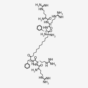 N=C(N)NCCC[C@H](NC(=O)[C@@H](N)CCCNC(=N)N)C(=O)N[C@@H](Cc1ccccc1)C(=O)CCCCCCCCCCCC(N)(N)C(=O)[C@H](Cc1ccccc1)NC(=O)[C@H](CCCNC(=N)N)NC(=O)[C@@H](N)CCCNC(=N)N